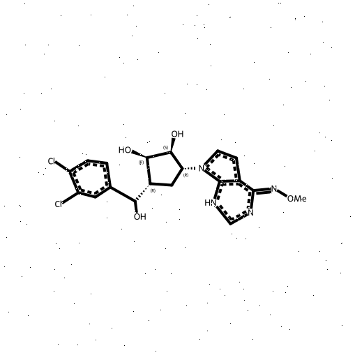 CON=c1nc[nH]c2c1ccn2[C@@H]1C[C@H](C(O)c2ccc(Cl)c(Cl)c2)[C@@H](O)[C@H]1O